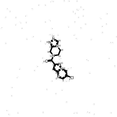 O=C(c1cc2ncc(Cl)cn2n1)N1CCn2cnnc2C1